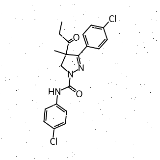 CCC(=O)C1(C)CN(C(=O)Nc2ccc(Cl)cc2)N=C1c1ccc(Cl)cc1